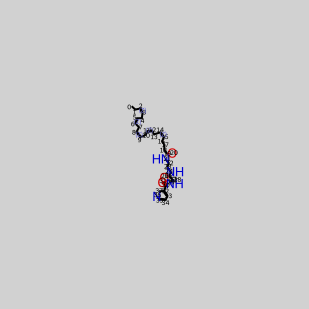 CC/C=C\C/C=C\C/C=C\C/C=C\C/C=C\CCCC(=O)NCCNC(=O)[C@H](C)NC(=O)c1cccnc1